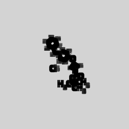 CC(C)(C)OC(=O)N1CC(Oc2cc[n+](Cc3ccccc3)cc2)C1.[Cl-]